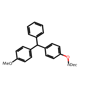 CCCCCCCCCCOc1ccc([C](c2ccccc2)c2ccc(OC)cc2)cc1